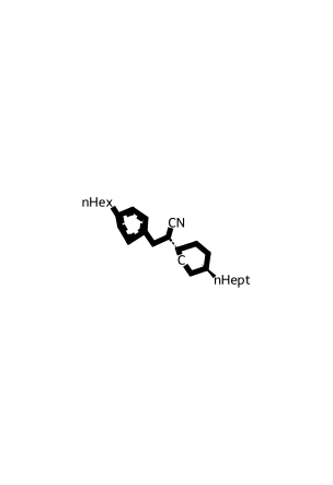 CCCCCCC[C@H]1CC[C@H](C(C#N)Cc2ccc(CCCCCC)cc2)CC1